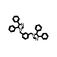 C1=NC(c2ccccc2)C(c2ccccc2)N1Cc1cccc(CN2C=NC(c3ccccc3)C2c2ccccc2)c1